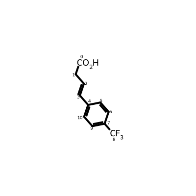 O=C(O)C/C=C/c1ccc(C(F)(F)F)cc1